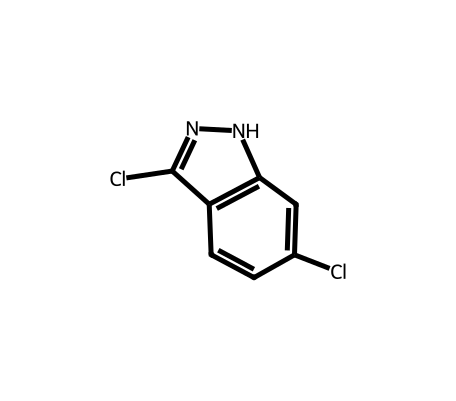 Clc1ccc2c(Cl)n[nH]c2c1